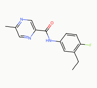 CCc1cc(NC(=O)c2cnc(C)cn2)ccc1F